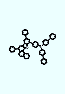 c1ccc(-c2ccc(N(c3ccc(-c4ccccc4)cc3)c3ccc(-c4cc(-c5ccccc5)cc5c4oc4c5cc(-c5ccccc5)c5ccc6ccccc6c54)cc3)cc2)cc1